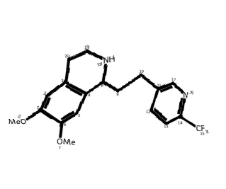 COc1cc2c(cc1OC)C(CCc1ccc(C(F)(F)F)nc1)NCC2